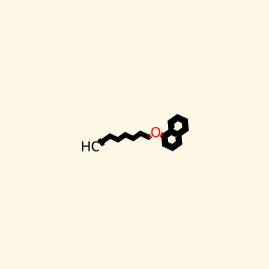 C#CCCCCCCOc1cccc2ccccc12